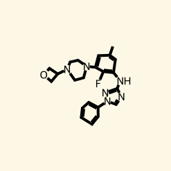 Cc1cc(Nc2ncn(-c3ccccc3)n2)c(F)c(N2CCN(C3COC3)CC2)c1